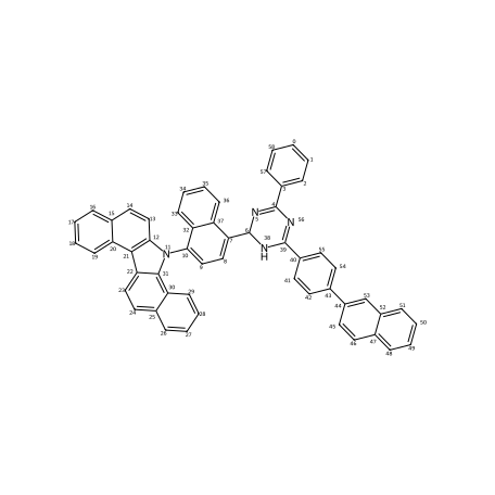 c1ccc(C2=NC(c3ccc(-n4c5ccc6ccccc6c5c5ccc6ccccc6c54)c4ccccc34)NC(c3ccc(-c4ccc5ccccc5c4)cc3)=N2)cc1